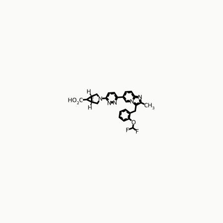 Cc1nc2ccc(-c3ccc(N4C[C@@H]5C(C(=O)O)[C@@H]5C4)nn3)cn2c1Cc1ccccc1OC(F)F